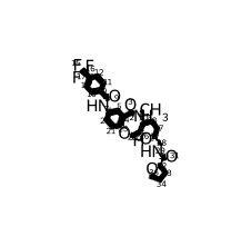 CN1C(=O)c2cc(NC(=O)c3ccc(C(F)(F)F)cc3)ccc2OC[C@@H]2O[C@H](CNC(=O)[C@H]3CCCO3)CC[C@@H]21